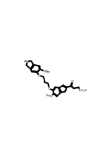 COc1cc2c(cc1OCCCOc1cc3c(cc1OC)CNC3)C=C(C(=O)CCC(=O)O)C2